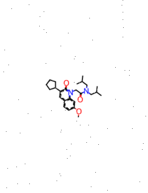 COc1ccc2cc(C3CCCC3)c(=O)n(CC(=O)N(CC(C)C)CC(C)C)c2c1